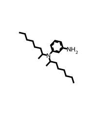 CCCCCCC(C)N(c1cccc(N)c1)C(C)CCCCCC